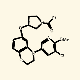 CCC(=O)N1CCC(Oc2ccc3c(c2)N(c2cnc(OC)c(Cl)c2)CCO3)C1